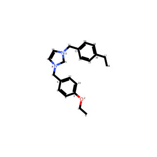 CCOc1ccc(CN2C=CN(Cc3ccc(CC)cc3)C2)cc1